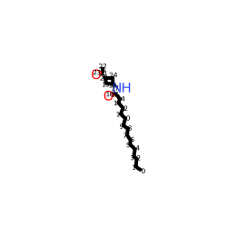 CCCCCCCCCCCCCCCC(=O)N[C@H]1C[C@@H](C(C)=O)C1